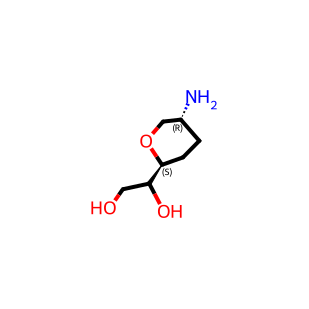 N[C@@H]1CC[C@@H](C(O)CO)OC1